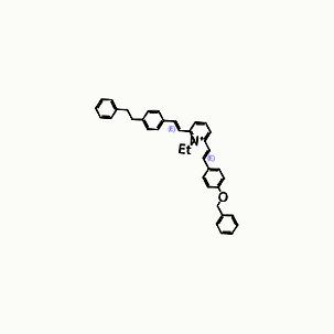 CC[n+]1c(/C=C/c2ccc(CCc3ccccc3)cc2)cccc1/C=C/c1ccc(OCc2ccccc2)cc1